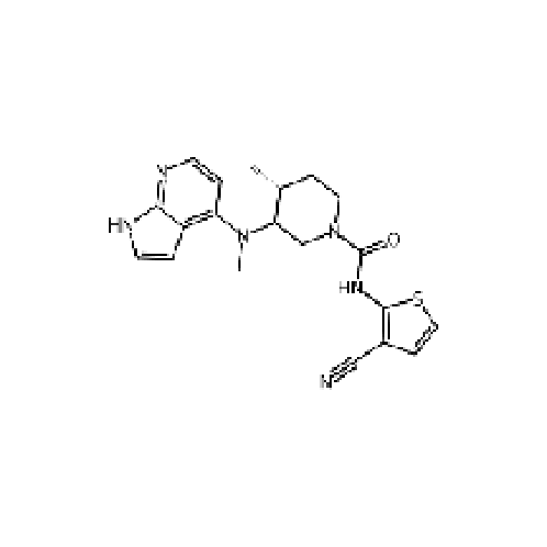 C[C@@H]1CCN(C(=O)Nc2sccc2C#N)CC1N(C)c1ccnc2[nH]ccc12